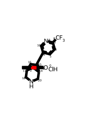 Cl.O=C1N(c2ccc(C(F)(F)F)nc2)CCC12C1CCC2CNC1